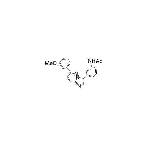 COc1cccc(-c2ccc3ncc(-c4cccc(NC(C)=O)c4)n3n2)c1